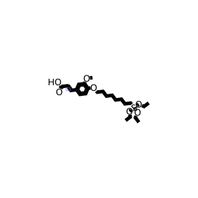 CCO[Si](CCCCCCCCOc1ccc(/C=C/C(=O)O)cc1OC)(OCC)OCC